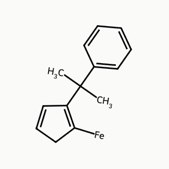 CC(C)(C1=[C]([Fe])CC=C1)c1ccccc1